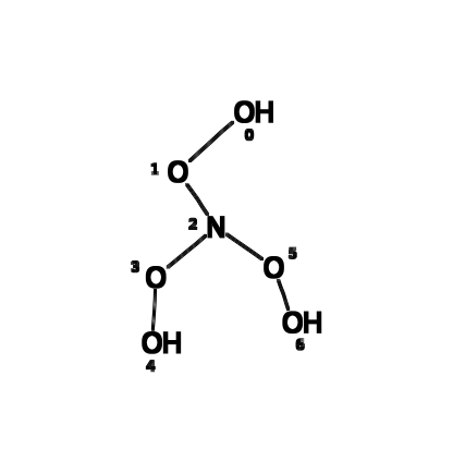 OON(OO)OO